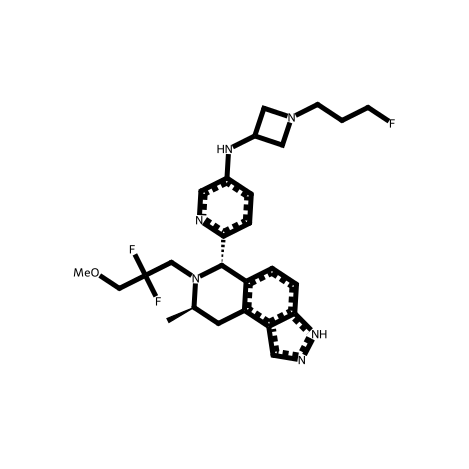 COCC(F)(F)CN1[C@H](c2ccc(NC3CN(CCCF)C3)cn2)c2ccc3[nH]ncc3c2C[C@H]1C